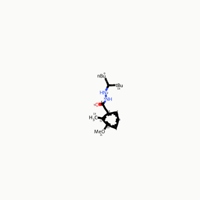 CCCCC(NNC(=O)c1cccc(OC)c1C)C(C)(C)C